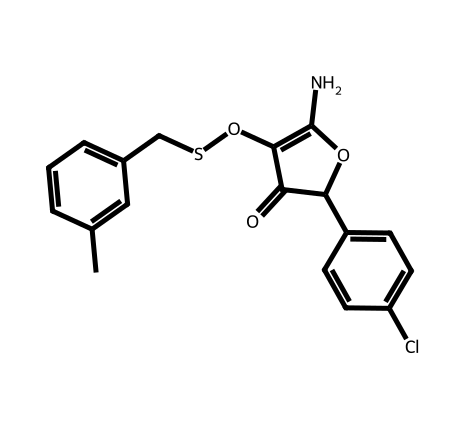 Cc1cccc(CSOC2=C(N)OC(c3ccc(Cl)cc3)C2=O)c1